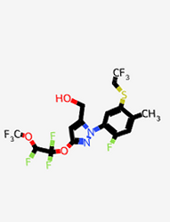 Cc1cc(F)c(-n2nc(OC(F)(F)C(F)OC(F)(F)F)cc2CO)cc1SCC(F)(F)F